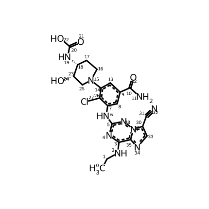 CCNc1nc(Nc2cc(C(N)=O)cc(N3CC[C@@H](NC(=O)O)[C@@H](O)C3)c2Cl)nn2c(C#N)cnc12